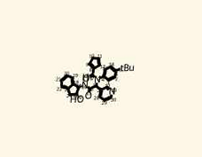 CC(C)(C)c1ccc(N(C(=O)C2=CCC=C2)C(C(=O)N[C@@H]2c3ccccc3C[C@@H]2O)c2cccnc2)cc1